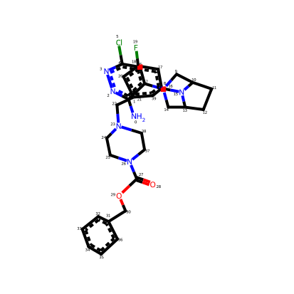 Nc1nnc(Cl)cc1N1CC2CCC(C1)N2c1cc(F)cc(CN2CCN(C(=O)OCc3ccccc3)CC2)c1